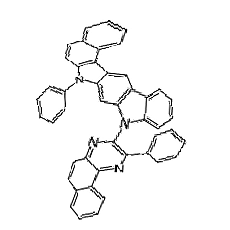 c1ccc(-c2nc3c(ccc4ccccc43)nc2-n2c3ccccc3c3cc4c5c6ccccc6ccc5n(-c5ccccc5)c4cc32)cc1